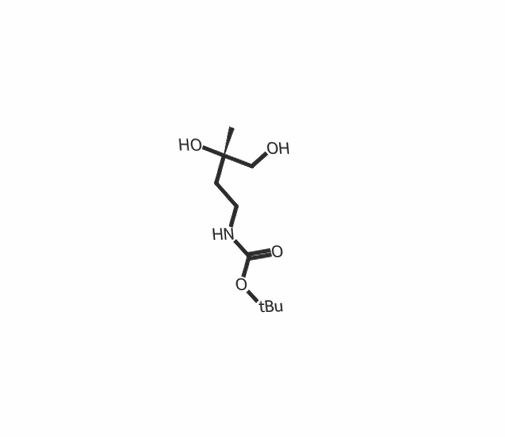 CC(C)(C)OC(=O)NCC[C@](C)(O)CO